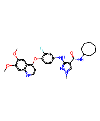 COc1cc2nccc(Oc3ccc(Nc4nn(C)cc4C(=O)NC4CCCCCC4)cc3F)c2cc1OC